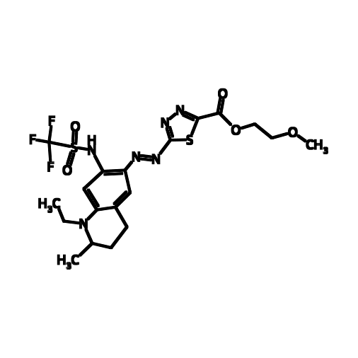 CCN1c2cc(NS(=O)(=O)C(F)(F)F)c(N=Nc3nnc(C(=O)OCCOC)s3)cc2CCC1C